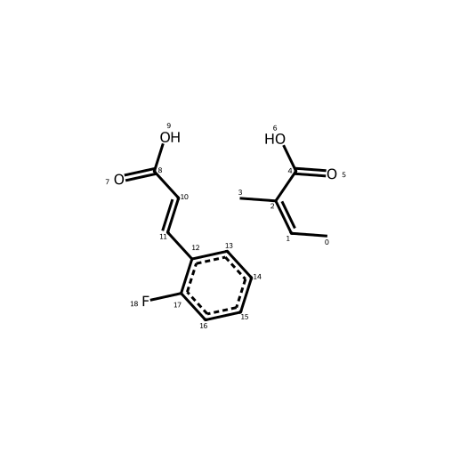 CC=C(C)C(=O)O.O=C(O)C=Cc1ccccc1F